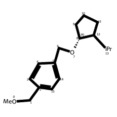 COCc1ccc(CO[C@@H]2CCCC2C(C)C)cc1